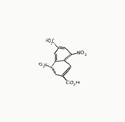 O=C(O)c1cc([N+](=O)[O-])c2cc(C(=O)O)cc([N+](=O)[O-])c2c1